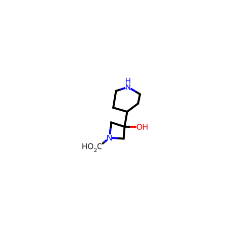 O=C(O)N1CC(O)(C2CCNCC2)C1